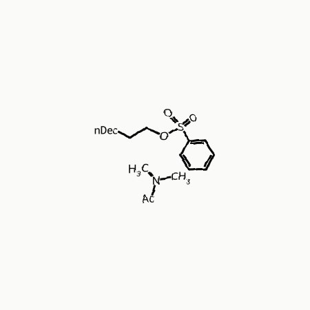 CC(=O)N(C)C.CCCCCCCCCCCCOS(=O)(=O)c1ccccc1